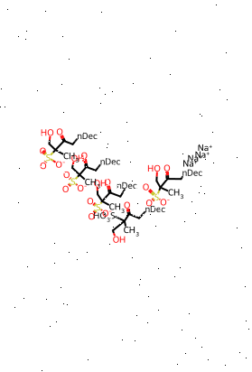 CCCCCCCCCCCC(=O)C(C)(CO)S(=O)(=O)O.CCCCCCCCCCCC(=O)C(C)(CO)S(=O)(=O)[O-].CCCCCCCCCCCC(=O)C(C)(CO)S(=O)(=O)[O-].CCCCCCCCCCCC(=O)C(C)(CO)S(=O)(=O)[O-].CCCCCCCCCCCC(=O)C(C)(CO)S(=O)(=O)[O-].[Na+].[Na+].[Na+].[Na+]